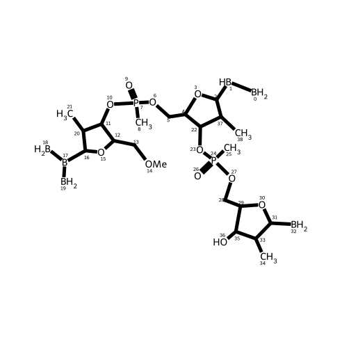 BBC1OC(COP(C)(=O)OC2C(COC)OC(B(B)B)C2C)C(OP(C)(=O)OCC2OC(B)C(C)C2O)C1C